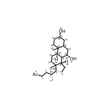 CC(=O)CC[C@@H](C)[C@H]1CC[C@H]2C3[C@H](O)CC4C[C@H](O)CCC4(C)[C@H]3CCC12C